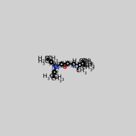 CCc1cc2c(cc1-c1ccc(-c3ccc4c(c3)oc3cc(-c5nc(-c6ccc(C(C)(C)C)cc6)nc(-c6ccc(C(C)(C)C)cc6)n5)ccc34)cn1)C(C)(C)C(C)(C)C2(C)C